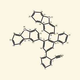 N#Cc1ccccc1-c1cc(-c2ccccc2)c(-c2ccc3oc4ccccc4c3c2)c(-c2ccc3oc4ccccc4c3c2)c1